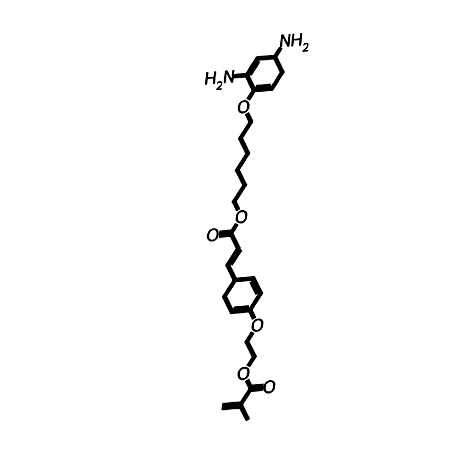 C=C(C)C(=O)OCCOC1=CCC(/C=C/C(=O)OCCCCCCOC2=CCC(N)C=C2N)C=C1